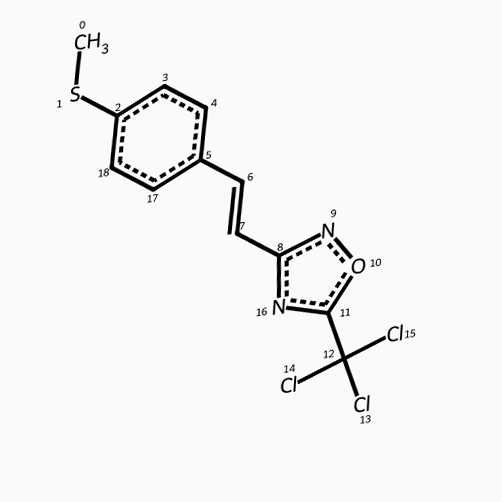 CSc1ccc(C=Cc2noc(C(Cl)(Cl)Cl)n2)cc1